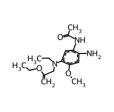 C=C(CN(CC)c1cc(NC(C)=O)c(N)cc1OC)OCC